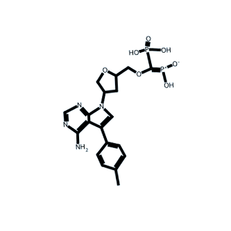 Cc1ccc(-c2cn(C3COC(CO/C(=[P+](/[O-])O)P(=O)(O)O)C3)c3ncnc(N)c23)cc1